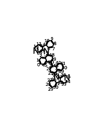 c1ccc2c(-n3c4ccccc4c4ccncc43)ccc(-c3ccc(-n4c5ccccc5c5ccncc54)c4ccccc34)c2c1